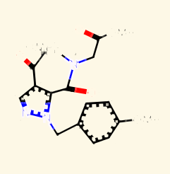 COC(=O)CN(C)C(=O)c1c(C(=O)OC)cnn1Cc1ccc(OC)cc1